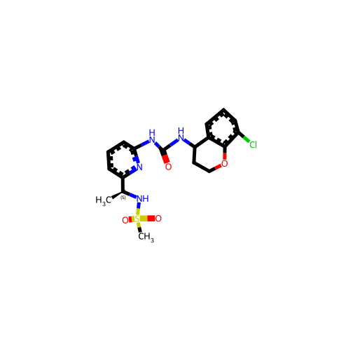 C[C@H](NS(C)(=O)=O)c1cccc(NC(=O)NC2CCOc3c(Cl)cccc32)n1